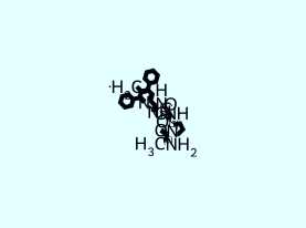 [CH2]c1c(C2CCCCC2)cc(C(=N)NS(=O)(=O)NC(=O)[C@@H]2CCCN2C(=O)[C@H](C)N)nc1C1CCCCC1